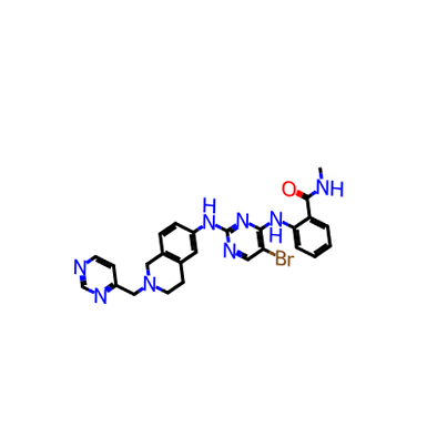 CNC(=O)c1ccccc1Nc1nc(Nc2ccc3c(c2)CCN(Cc2ccncn2)C3)ncc1Br